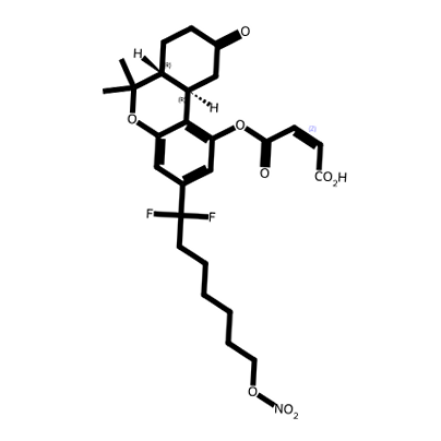 CC1(C)Oc2cc(C(F)(F)CCCCCCO[N+](=O)[O-])cc(OC(=O)/C=C\C(=O)O)c2[C@@H]2CC(=O)CC[C@H]21